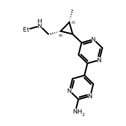 CCNC[C@H]1C(c2cc(-c3cnc(N)nc3)ncn2)[C@H]1C